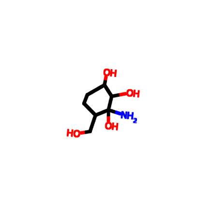 NC1(O)C(CO)CCC(O)C1O